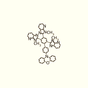 Cn1c(-c2cc(-c3nc4cccnc4n3C)c(-c3nc4cccnc4n3C)cc2-c2ccc(N3c4ccccc4Oc4ccccc43)cc2)nc2cccnc21